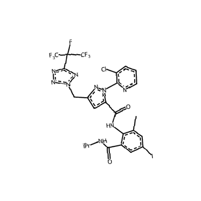 Cc1cc(I)cc(C(=O)NC(C)C)c1NC(=O)c1cc(Cn2nnc(C(F)(C(F)(F)F)C(F)(F)F)n2)nn1-c1ncccc1Cl